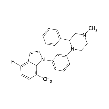 Cc1ccc(F)c2ccn(-c3cccc(N4CCN(C)CC4c4ccccc4)c3)c12